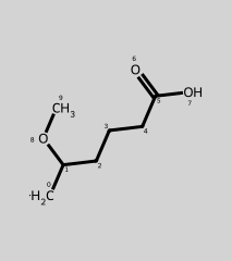 [CH2]C(CCCC(=O)O)OC